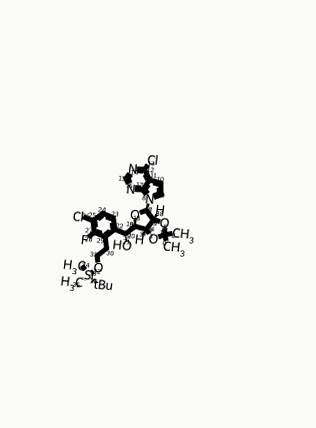 CC1(C)O[C@H]2[C@@H](O1)[C@H](n1ccc3c(Cl)ncnc31)O[C@@H]2[C@H](O)c1ccc(Cl)c(F)c1CCO[Si](C)(C)C(C)(C)C